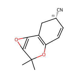 CC1(C)OC2=C(C[C@H](C#N)C=C2)C2=C1O2